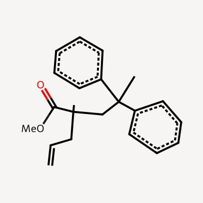 C=CCC(C)(CC(C)(c1ccccc1)c1ccccc1)C(=O)OC